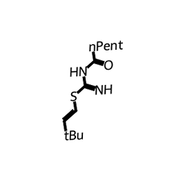 CCCCCC(=O)NC(=N)S/C=C/C(C)(C)C